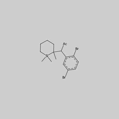 CC(=O)C(c1cc(Br)ccc1Br)C1(C)CCCC[Si]1(C)C